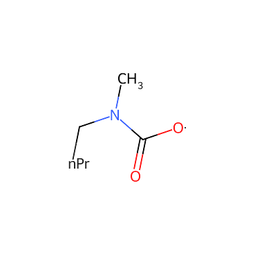 CCCCN(C)C([O])=O